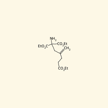 C=C(CCC(=O)OCC)CC(N)(C(=O)OCC)C(=O)OCC